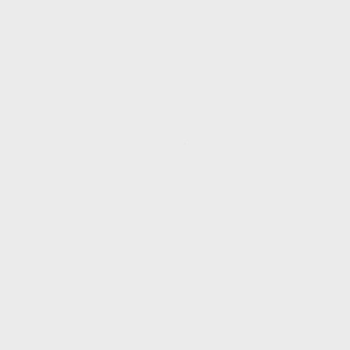 Cc1cc2c(Br)cccc2c(OCc2ccccc2)c1C(=O)Oc1ccccc1